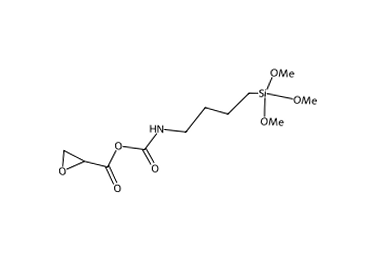 CO[Si](CCCCNC(=O)OC(=O)C1CO1)(OC)OC